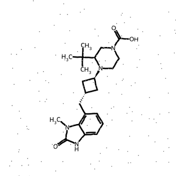 Cn1c(=O)[nH]c2cccc(C[C@H]3C[C@H](N4CCN(C(=O)O)CC4C(C)(C)C)C3)c21